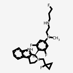 CN(CCNCCCF)c1cc(F)c([C@@H]2c3[nH]c4ccccc4c3CCN2CC2(F)CC2)c(F)c1